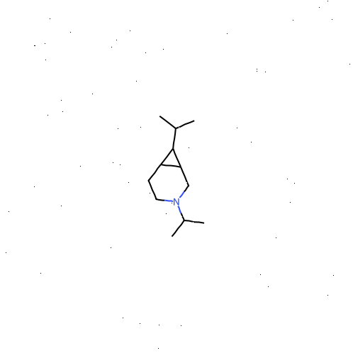 CC(C)C1C2CCN(C(C)C)CC21